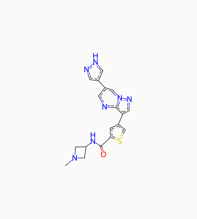 CN1CC(NC(=O)c2cc(-c3cnn4cc(-c5cn[nH]c5)cnc34)cs2)C1